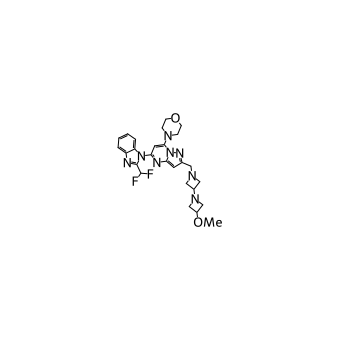 COC1CN(C2CN(Cc3cc4nc(-n5c(C(F)F)nc6ccccc65)cc(N5CCOCC5)n4n3)C2)C1